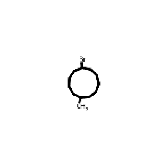 CC1CCCCCC(Br)CCCC1